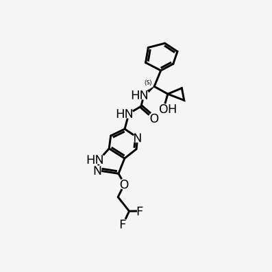 O=C(Nc1cc2[nH]nc(OCC(F)F)c2cn1)N[C@@H](c1ccccc1)C1(O)CC1